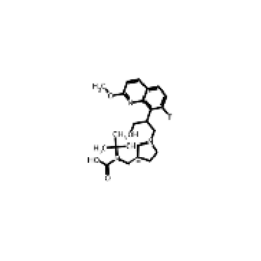 COc1ccc2ccc(F)c(C(CO)CN3CC[C@@H](CN(C(=O)O)C(C)(C)C)C3)c2n1